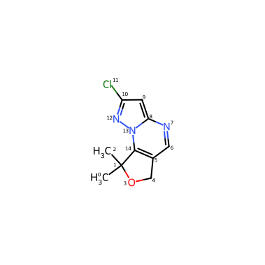 CC1(C)OCc2cnc3cc(Cl)nn3c21